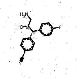 N#Cc1ccc([C@H](c2ccc(F)cc2)[C@@H](O)CN)cc1